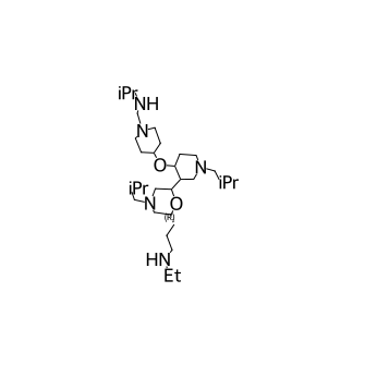 CCNCCC[C@@H]1CN(CC(C)C)CC(C2CN(CC(C)C)CCC2OC2CCN(CNC(C)C)CC2)O1